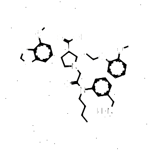 CCCCN(C(=O)CN1C[C@H](c2cc(OC)c3c(c2)OCO3)[C@@H](C(=O)O)[C@@H]1CCOc1ccccc1OC)c1cccc(CN)c1